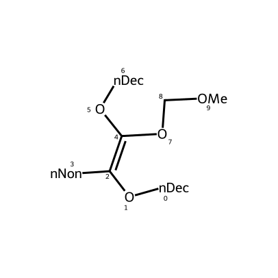 CCCCCCCCCCOC(CCCCCCCCC)=C(OCCCCCCCCCC)OCOC